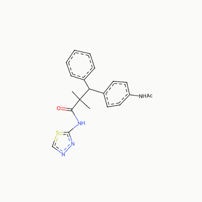 CC(=O)Nc1ccc(C(c2ccccc2)C(C)(C)C(=O)Nc2nncs2)cc1